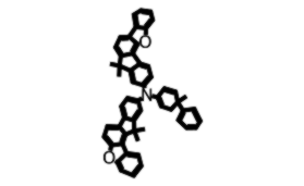 CC1(c2ccccc2)C=CC(N(c2ccc3c(c2)C(C)(C)c2ccc4c(oc5ccccc54)c2-3)c2ccc3c(c2)C(C)(C)c2c-3ccc3oc4ccccc4c23)=CC1